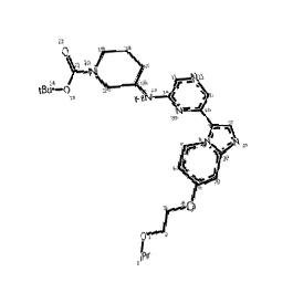 CC(C)OCCOc1ccn2c(-c3cncc(NC4CCCN(C(=O)OC(C)(C)C)C4)n3)cnc2c1